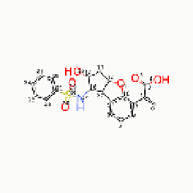 C=C(C(=O)O)c1cccc2c1OC1CC(O)C(NS(=O)(=O)c3ccccc3)C21